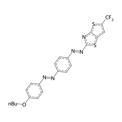 CCCCOc1ccc(N=Nc2ccc(N=Nc3nc4sc(C(F)(F)F)cc4s3)cc2)cc1